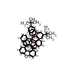 CC(C)(C)c1ccc2c(c1)c1cc(C(C)(C)C)ccc1n2-c1c2ccccc2c(-c2cccc3oc4cccc(-c5c6ccccc6c(-c6ccccc6)c6ccccc56)c4c23)c2ccccc12